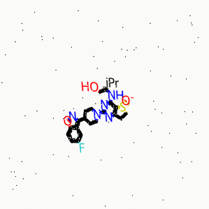 CC(C)[C@H](CO)Nc1nc(N2CCC(c3noc4ccc(F)cc34)CC2)nc2c1[S+]([O-])CC2